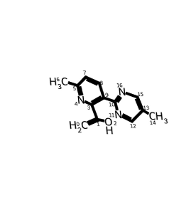 C=C(O)c1nc(C)ccc1-c1ncc(C)cn1